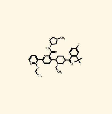 CCOc1ncccc1-c1ccc(N2CCN(C(=O)c3ccc(Cl)cc3C(F)(F)F)C[C@H]2CC)c(C(=O)N[C@H]2CCN(C)C2)n1